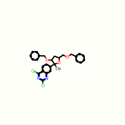 N#CC1(c2ccc3c(Cl)nc(Cl)nc3c2)OC(COCc2ccccc2)CC1OCc1ccccc1